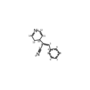 N#C/C(=C\c1ccccc1)C1C=CN=CC1